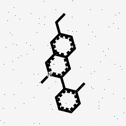 CCc1ccc2cc(-c3ccccc3C)[n+](C)cc2c1